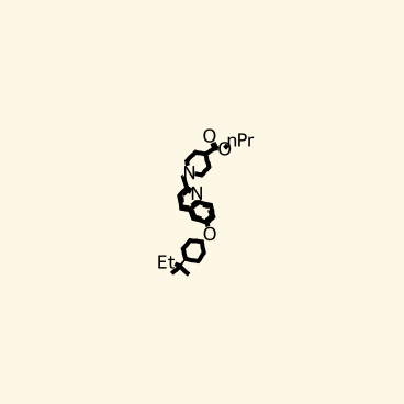 CCCOC(=O)C1CCN(Cc2ccc3cc(O[C@H]4CC[C@H](C(C)(C)CC)CC4)ccc3n2)CC1